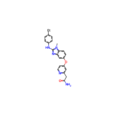 CCc1ccc(Nc2nc3cc(Oc4ccnc(CC(N)=O)c4)ccc3n2C)cc1